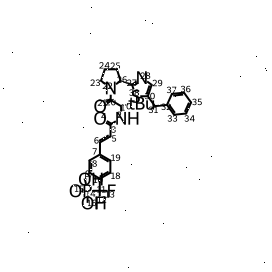 CC(C)(C)[C@H](NC(=O)/C=C/c1ccc(C(F)(F)P(=O)(O)O)cc1)C(=O)N1CCC[C@H]1c1ncc(Cc2ccccc2)s1